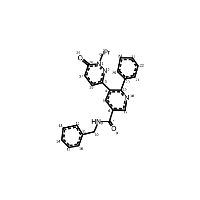 CC(C)n1nc(-c2cc(C(=O)NCc3ccccc3)cnc2-c2ccccc2)ccc1=O